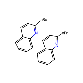 CCCCc1ccc2ccccc2n1.CCCc1ccc2ccccc2n1